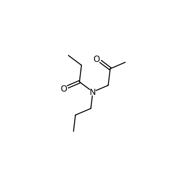 CCCN(CC(C)=O)C(=O)CC